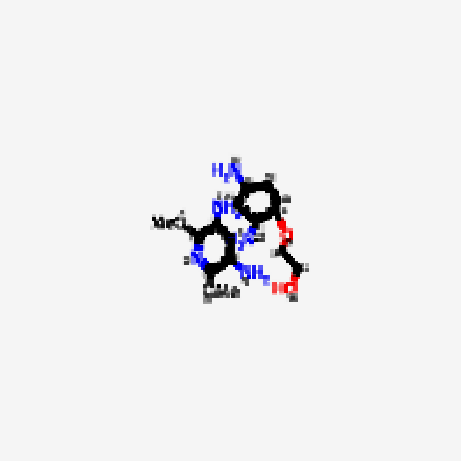 COc1nc(OC)c(N)cc1N.Nc1ccc(OCCO)c(N)c1